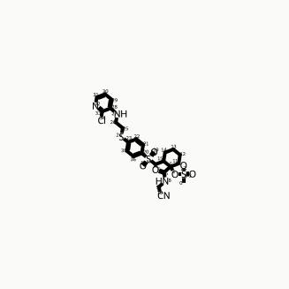 CS(=O)(=O)OC1(C(=O)NCC#N)CCCCC1CS(=O)(=O)c1ccc(SCCNc2cccnc2Cl)cc1